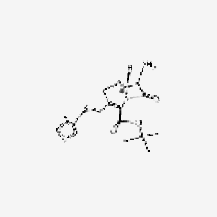 CC(C)(C)OC(=O)C1=C(CSc2cncs2)CS[C@@H]2C(N)C(=O)N12